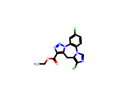 CCOC(=O)c1nnn2c1Cc1c(Br)ncn1-c1ccc(Cl)cc1-2